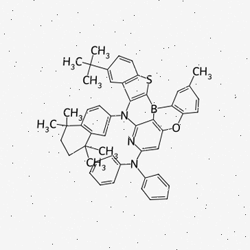 Cc1ccc2c(c1)B1c3sc4ccc(C(C)(C)C)cc4c3N(c3ccc4c(c3)C(C)(C)CCC4(C)C)c3nc(N(c4ccccc4)c4ccccc4)cc(c31)O2